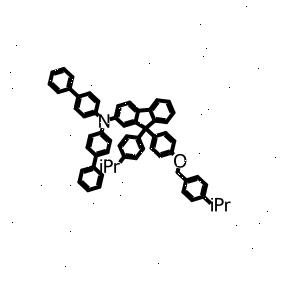 CC(C)c1ccc(COc2ccc(C3(c4ccc(C(C)C)cc4)c4ccccc4-c4ccc(N(c5ccc(-c6ccccc6)cc5)c5ccc(-c6ccccc6)cc5)cc43)cc2)cc1